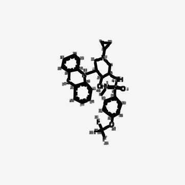 CN=S(=O)(NC1CN(C2CC2)CC(N2c3ccccc3Sc3ccccc32)C1O)c1ccc(OC(F)(F)F)cc1